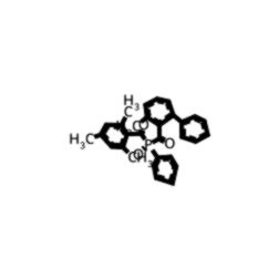 Cc1cc(C)c(C(=O)P(=O)(C(=O)c2c(C)cccc2-c2ccccc2)c2ccccc2)c(C)c1